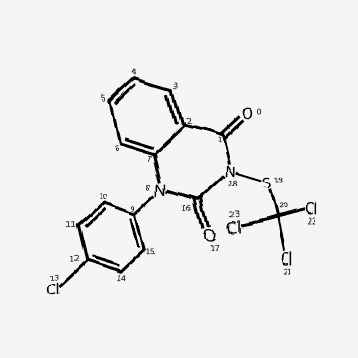 O=c1c2ccccc2n(-c2ccc(Cl)cc2)c(=O)n1SC(Cl)(Cl)Cl